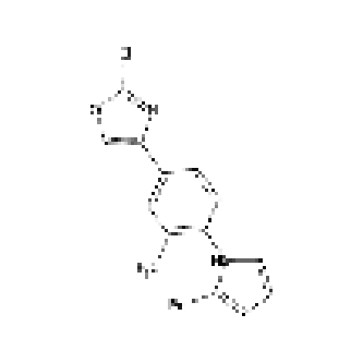 CC(C)C1=CC=C[SH]1c1ccc(-c2coc(Cl)n2)cc1C(F)(F)F